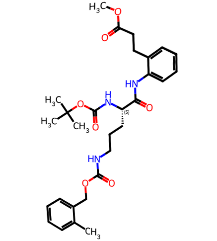 COC(=O)CCc1ccccc1NC(=O)[C@H](CCCNC(=O)OCc1ccccc1C)NC(=O)OC(C)(C)C